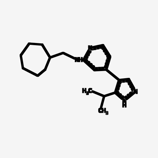 CC(C)c1[nH]ncc1-c1ccnc(NCC2CCCCCC2)c1